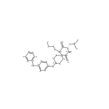 CCCCN1C(=O)[C@H](CC(C)C)NC(=O)C12CCN(Cc1ccc(Sc3ccccc3)cc1)CC2